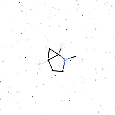 CN1CC[C@H]2C[C@H]21